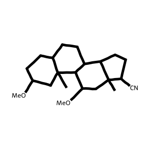 COC1CCC2CCC3C4CCC(C#N)C4(C)CC(OC)C3C2(C)C1